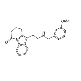 COc1cccc(CNCCc2c3n(c4ccccc24)C(=O)CCC3)c1